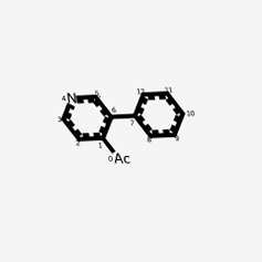 CC(=O)c1ccn[c]c1-c1ccccc1